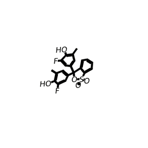 Cc1cc(C2(c3cc(C)c(O)c(F)c3)OS(=O)(=O)c3ccccc32)cc(F)c1O